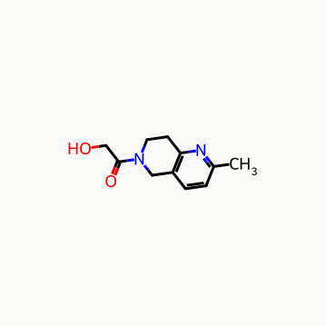 Cc1ccc2c(n1)CCN(C(=O)CO)C2